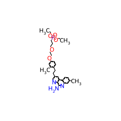 CCOP(=O)(CCCOCCOc1ccc(CCc2cnc3c(N)nc4cc(C)ccc4c3c2)c(C)c1)OCC